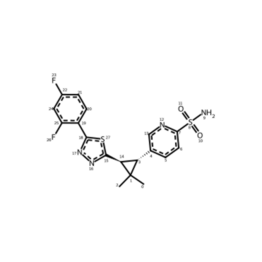 CC1(C)[C@@H](c2ccc(S(N)(=O)=O)nc2)[C@@H]1c1nnc(-c2ccc(F)cc2F)s1